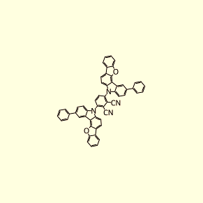 N#Cc1c(-n2c3ccc(-c4ccccc4)cc3c3c4oc5ccccc5c4ccc32)ccc(-n2c3ccc(-c4ccccc4)cc3c3c4oc5ccccc5c4ccc32)c1C#N